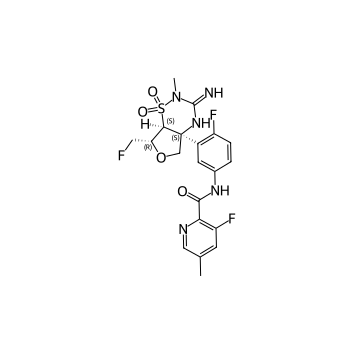 Cc1cnc(C(=O)Nc2ccc(F)c([C@]34CO[C@H](CF)[C@H]3S(=O)(=O)N(C)C(=N)N4)c2)c(F)c1